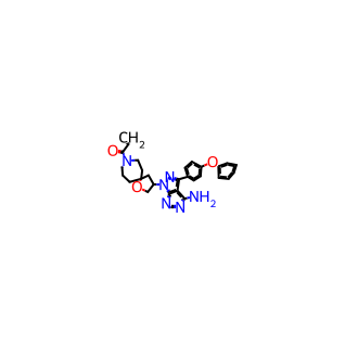 C=CC(=O)N1CCCC2(CC1)CC(n1nc(-c3ccc(Oc4ccccc4)cc3)c3c(N)ncnc31)CO2